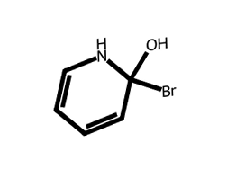 OC1(Br)C=CC=CN1